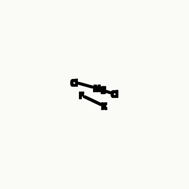 [Cl][Mg][Cl].[F][K]